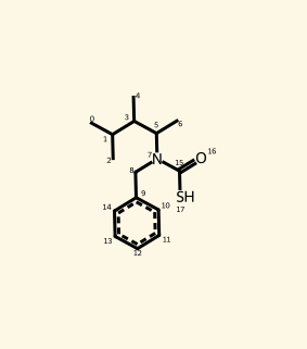 CC(C)C(C)C(C)N(Cc1ccccc1)C(=O)S